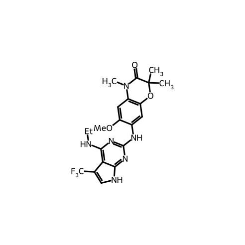 CCNc1nc(Nc2cc3c(cc2OC)N(C)C(=O)C(C)(C)O3)nc2[nH]cc(C(F)(F)F)c12